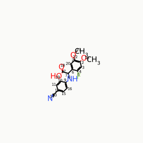 COc1cc(F)c(C(Nc2ccc(C#N)cc2)C(=O)O)cc1OC